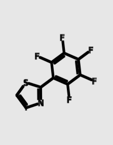 Fc1c(F)c(F)c(-c2n[c]cs2)c(F)c1F